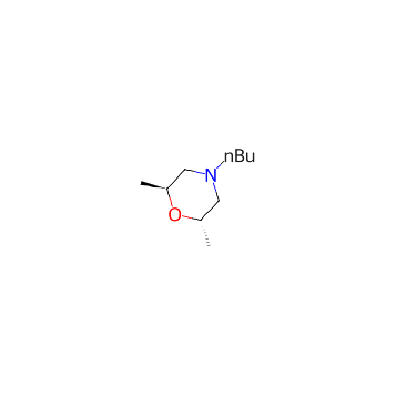 CCCCN1C[C@H](C)O[C@@H](C)C1